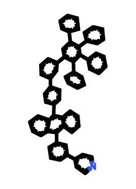 c1ccc(-c2cc(-c3cccc(-c4ccc(-c5c6ccccc6c(-c6cccc(-c7ccncc7)c6)c6ccccc56)cc4)c3)c(-c3ccccc3)c(-c3ccccc3)c2-c2ccccc2)cc1